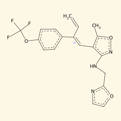 C=C/C(=C\c1c(NCc2ncco2)noc1C)c1ccc(OC(F)(F)F)cc1